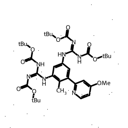 COc1ccnc(-c2cc(NC(=NC(=O)OC(C)(C)C)NC(=O)OC(C)(C)C)cc(NC(=NC(=O)OC(C)(C)C)NC(=O)OC(C)(C)C)c2C)c1